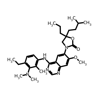 CCCC1(CCC(C)C)CN(c2cc3c(Nc4ccc(CC)c(N(C)C)c4C)ncnc3cc2OC)C(=O)O1